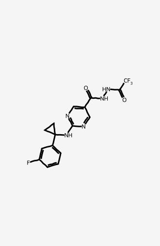 O=C(NNC(=O)C(F)(F)F)c1cnc(NC2(c3cccc(F)c3)CC2)nc1